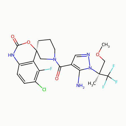 COC[C@](C)(n1ncc(C(=O)N2CCC[C@@]3(C2)OC(=O)Nc2ccc(Cl)c(F)c23)c1N)C(F)(F)F